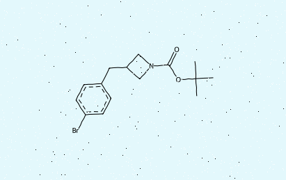 CC(C)(C)OC(=O)N1CC(Cc2ccc(Br)cc2)C1